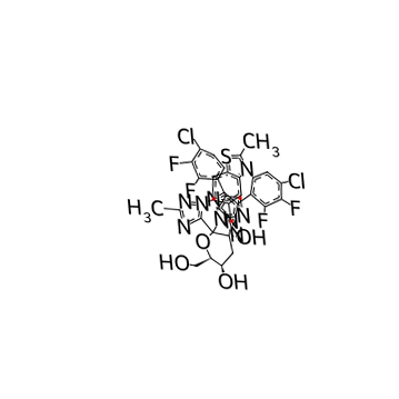 Cc1nc(C2(n3cc(-c4ccc(Cl)c(F)c4F)cn3)O[C@H](CO)[C@H](O)C[C@]2(O)n2cc(-c3ccc(Cl)c(F)c3F)cn2)n(-c2cc3sc(C)nc3cc2C#N)n1